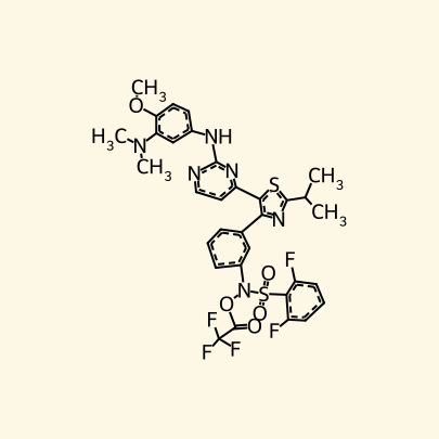 COc1ccc(Nc2nccc(-c3sc(C(C)C)nc3-c3cccc(N(OC(=O)C(F)(F)F)S(=O)(=O)c4c(F)cccc4F)c3)n2)cc1N(C)C